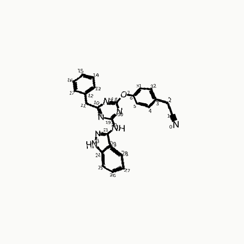 N#CCc1ccc(Oc2nc(Cc3ccccc3)nc(Nc3n[nH]c4ccccc34)n2)cc1